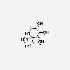 NC1(CO)NCC(O)C(O)C1O